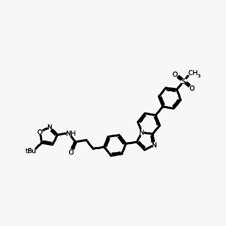 CC(C)(C)c1cc(NC(=O)CCc2ccc(-c3cnc4cc(-c5ccc(S(C)(=O)=O)cc5)ccn34)cc2)no1